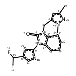 Cc1cc(Cn2c(=O)n(-c3ncc(C(F)F)s3)c3ccccc32)n(C)n1